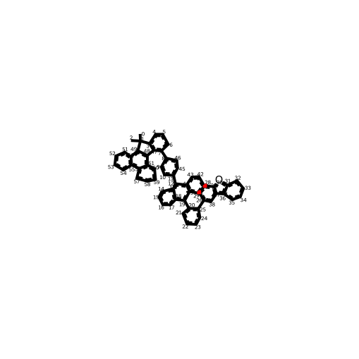 CC1(C)c2cccc(-c3ccc(-c4c5ccccc5c(-c5ccccc5-c5ccc6oc7ccccc7c6c5)c5ccccc45)cc3)c2-c2c1c1ccccc1c1ccccc21